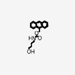 O=C(NCCCCO)OCc1c2ccccc2cc2ccccc12